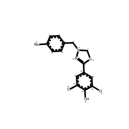 CC(C)(C)c1ccc(CN2COC(c3cc(Cl)c(O)c(Cl)c3)=N2)cc1